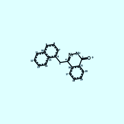 O=C1[N]N=C(Cc2cccc3ccccc23)c2ccccc21